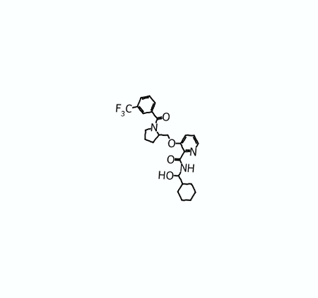 O=C(NC(O)C1CCCCC1)c1ncccc1OCC1CCCN1C(=O)c1cccc(C(F)(F)F)c1